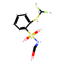 O=C=NS(=O)(=O)c1ccccc1SC(F)F